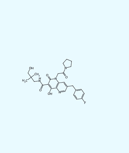 CC(C)(CO)CNC(=O)c1c(O)c2ncc(Cc3ccc(F)cc3)cc2n(CC(=O)N2CCCC2)c1=O